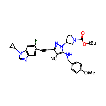 COc1ccc(CNc2c(C#N)c(C#Cc3cc4ncn(C5CC5)c4cc3F)nn2[C@H]2CCN(C(=O)OC(C)(C)C)C2)cc1